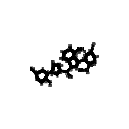 CC[C@@H](c1cn(-c2cc(F)ccc2F)nn1)n1cc(-c2cc(F)cnc2OC)c2c(N)ncnc21